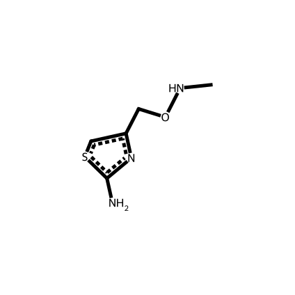 CNOCc1csc(N)n1